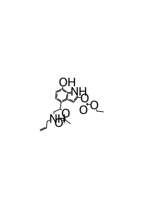 C=CCNCC(OC(C)=O)c1ccc(O)c2[nH]c(OC(=O)OCC)cc12